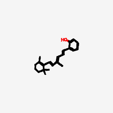 CC(C=CC1=C(C)CCCC1(C)C)=CC=Cc1ccccc1O